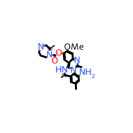 COc1cc2nc(C)nc(N[C@H](C)c3cc(C)cc(N)c3)c2cc1OC(=O)N1CCCN(C)C[C@H]1C